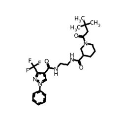 CC(C)(C)CC(=O)N1CCCC(C(=O)NCCNC(=O)c2cn(-c3ccccc3)nc2C(F)(F)F)C1